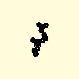 c1ccc(-c2nc(-c3ccc4c(c3)oc3ccccc34)nc(-c3ccc4sc5ccc(-c6ccc7c8ccccc8n(-c8ccccc8)c7c6)cc5c4c3)n2)cc1